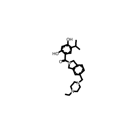 CCN1CCN(Cc2ccc3c(c2)CN(C(=O)c2cc(C(C)C)c(O)cc2O)C3)CC1